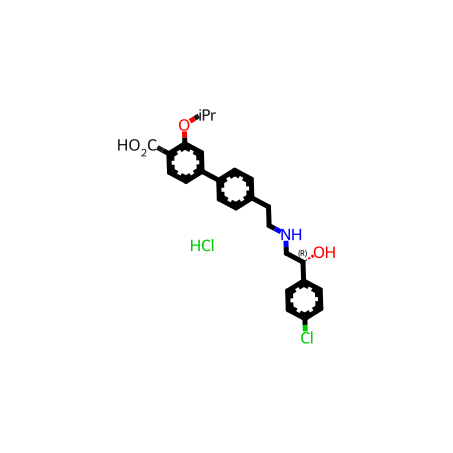 CC(C)Oc1cc(-c2ccc(CCNC[C@H](O)c3ccc(Cl)cc3)cc2)ccc1C(=O)O.Cl